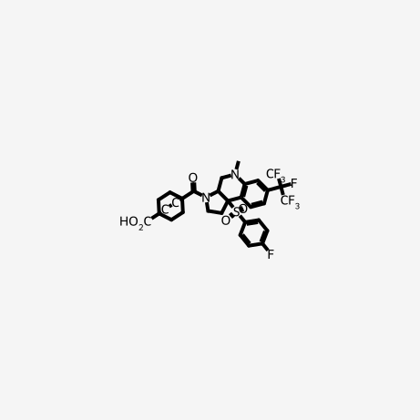 CN1CC2N(C(=O)C34CCC(C(=O)O)(CC3)CC4)CCC2(S(=O)(=O)c2ccc(F)cc2)c2ccc(C(F)(C(F)(F)F)C(F)(F)F)cc21